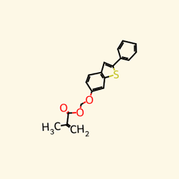 C=C(C)C(=O)OCOc1ccc2cc(-c3ccccc3)sc2c1